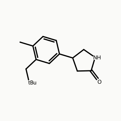 Cc1ccc(C2CNC(=O)C2)cc1CC(C)(C)C